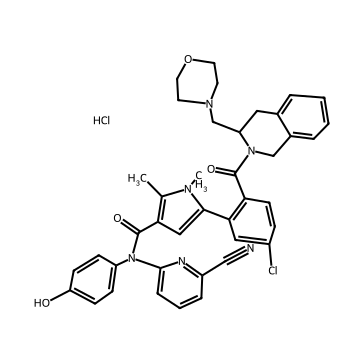 Cc1c(C(=O)N(c2ccc(O)cc2)c2cccc(C#N)n2)cc(-c2cc(Cl)ccc2C(=O)N2Cc3ccccc3CC2CN2CCOCC2)n1C.Cl